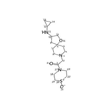 O=C(CN1CCC2(CC1)CC(NC1CC1)CO2)N1CC[S+]([O-])CC1